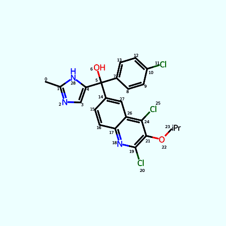 Cc1ncc(C(O)(c2ccc(Cl)cc2)c2ccc3nc(Cl)c(OC(C)C)c(Cl)c3c2)[nH]1